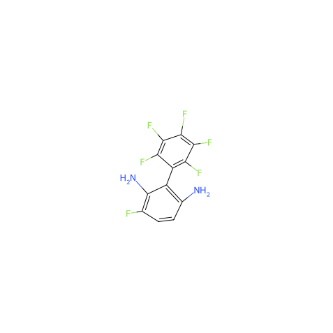 Nc1ccc(F)c(N)c1-c1c(F)c(F)c(F)c(F)c1F